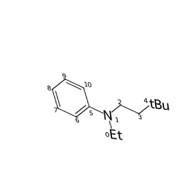 CCN(CCC(C)(C)C)c1ccccc1